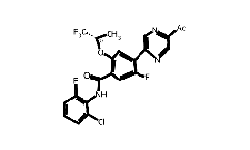 CC(=O)c1cnc(-c2cc(O[C@@H](C)C(F)(F)F)c(C(=O)Nc3c(F)cccc3Cl)cc2F)cn1